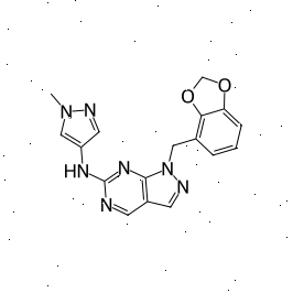 Cn1cc(Nc2ncc3cnn(Cc4cccc5c4OCO5)c3n2)cn1